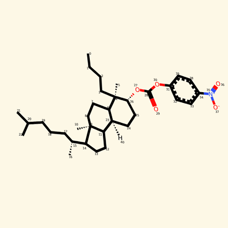 CCCC[C@]1(C)C2CC[C@@]3(C)C(CCC3[C@H](C)CCCC(C)C)[C@@H]2CC[C@H]1OC(=O)Oc1ccc([N+](=O)[O-])cc1